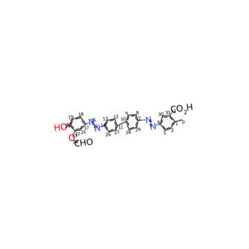 Cc1ccc(/N=N/c2ccc(-c3ccc(/N=N/c4ccc(O)c(OC=O)c4)cc3)cc2)cc1C(=O)O